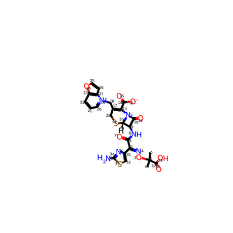 CC(C)(ON=C(C(=O)NC1C(=O)N2C(C(=O)[O-])=C(C[n+]3cccc4occc43)CS[C@@H]12)c1csc(N)n1)C(=O)O